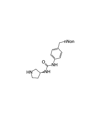 CCCCCCCCCCc1ccc(NC(=O)N[C@H]2CCNC2)cc1